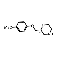 COc1ccc(OC[C@@H]2CNCCO2)cc1